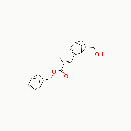 C/C(=C\C1=CC2CC(CO)C1C2)C(=O)OCC1CC2C=CC1C2